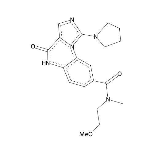 COCCN(C)C(=O)c1ccc2[nH]c(=O)c3cnc(N4CCCC4)n3c2c1